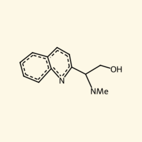 CNC(CO)c1ccc2ccccc2n1